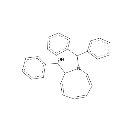 OC(c1ccccc1)C1\C=C/C=C\C=C/N1C(c1ccccc1)c1ccccc1